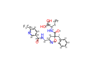 CC(C)CC(NC(=O)C1(Cc2ccccc2)CC(CNC(=O)c2ccc(C(F)(F)F)nc2)=NO1)B(O)O